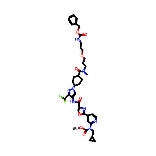 CN(CCCOCCCNC(=O)OCc1ccccc1)C(=O)C1CCC(n2cc(NC(=O)c3coc(-c4ccnc(N(CC5CC5)C(=O)OC(C)(C)C)c4)n3)c(C(F)F)n2)CC1